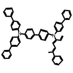 C=C/C(=C\C=C(/C)c1ccccc1)N(c1ccc(-c2ccccc2)cc1)c1ccc(-c2ccc(N(c3ccc(-c4ccccc4)cc3)c3ccc(-c4ccccc4)cc3)cc2)cc1